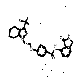 O=C(Nc1cccc2c1C(=O)NC2)c1ccc(OCCn2nc(C(F)(F)F)c3c2CCCC3)cc1